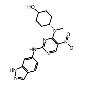 CN(c1nc(Nc2ccc3cn[nH]c3c2)ncc1[N+](=O)[O-])[C@H]1CC[C@H](O)CC1